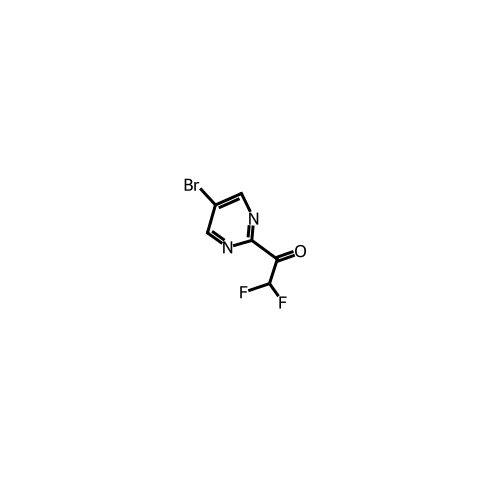 O=C(c1ncc(Br)cn1)C(F)F